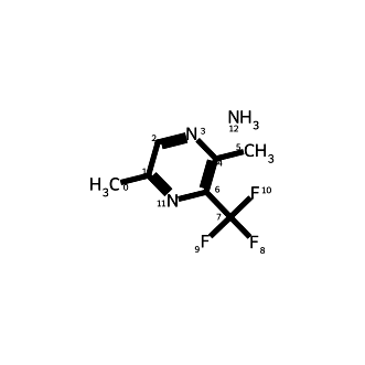 Cc1cnc(C)c(C(F)(F)F)n1.N